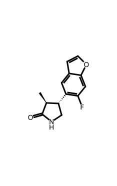 C[C@@H]1C(=O)NC[C@H]1c1cc2ccoc2cc1F